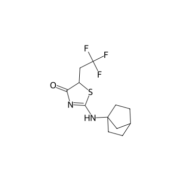 O=C1N=C(NC23CCC(CC2)C3)SC1CC(F)(F)F